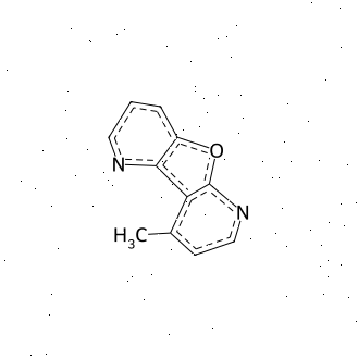 Cc1ccnc2oc3cccnc3c12